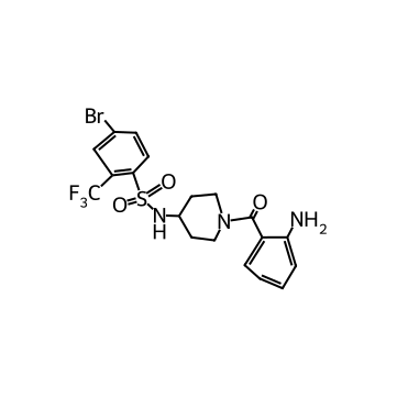 Nc1ccccc1C(=O)N1CCC(NS(=O)(=O)c2ccc(Br)cc2C(F)(F)F)CC1